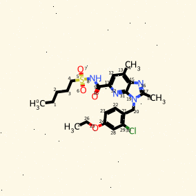 CCCCCS(=O)(=O)NC(=O)c1cc(C)c2nc(C)n(Cc3ccc(OCC)cc3Cl)c2n1